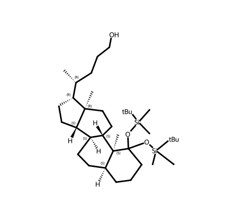 C[C@H](CCCO)[C@H]1CC[C@H]2[C@@H]3CC[C@@H]4CCCC(O[Si](C)(C)C(C)(C)C)(O[Si](C)(C)C(C)(C)C)[C@]4(C)[C@H]3CC[C@]12C